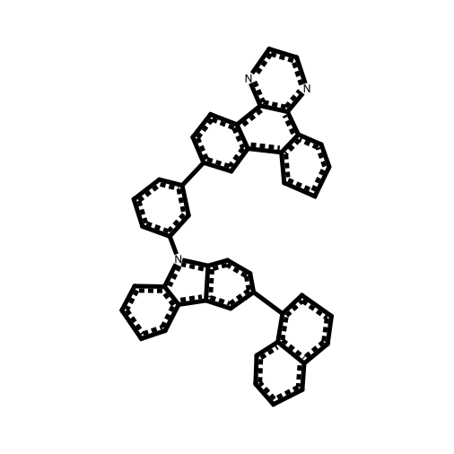 c1cc(-c2ccc3c(c2)c2ccccc2c2nccnc32)cc(-n2c3ccccc3c3cc(-c4cccc5ccccc45)ccc32)c1